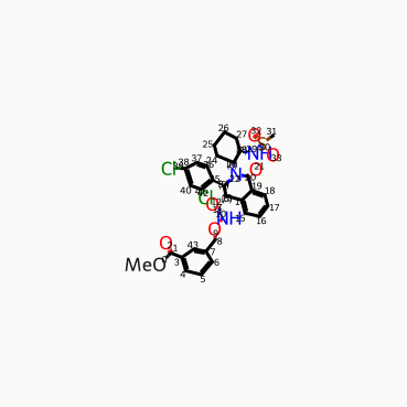 COC(=O)c1cccc(CONC(=O)[C@H]2c3ccccc3C(=O)N([C@@H]3CCCC[C@H]3NS(C)(=O)=O)[C@@H]2c2ccc(Cl)cc2Cl)c1